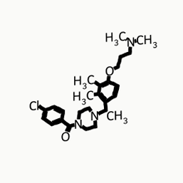 Cc1c(OCCCN(C)C)ccc([C@@H](C)N2CCN(C(=O)c3ccc(Cl)cc3)CC2)c1C